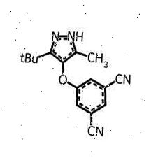 Cc1[nH]nc(C(C)(C)C)c1Oc1cc(C#N)cc(C#N)c1